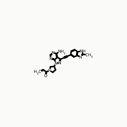 C=CC(=O)N1CCC(n2nc(C#Cc3ccc4[nH]c(C)nc4c3)c3c(N)ncnc32)C1